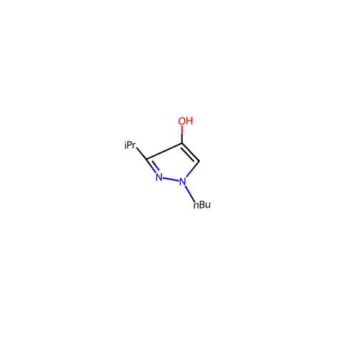 CCCCn1cc(O)c(C(C)C)n1